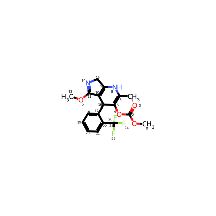 COC(=O)OC1=C(C)NC2=C(C(OC)=NC2)C1c1ccccc1C(F)(F)F